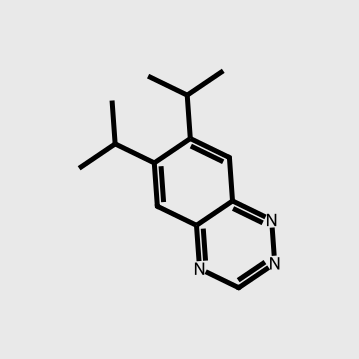 CC(C)c1cc2ncnnc2cc1C(C)C